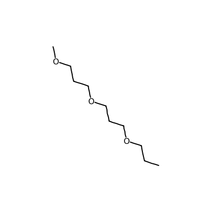 CCCOCCCOCCCOC